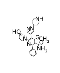 COc1c(C(N)=O)c(-c2ccccc2)nc(N2CC[C@@H](O)C2)c1-c1cnn(C2CCNCC2)c1